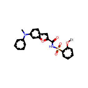 CCOc1ccccc1S(=O)(=O)NC(=O)c1cc2ccc(N(C)c3ccccc3)cc2o1